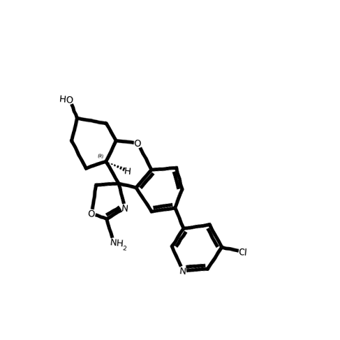 NC1=NC2(CO1)c1cc(-c3cncc(Cl)c3)ccc1OC1CC(O)CC[C@@H]12